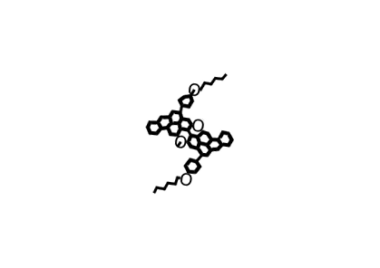 CCCCCCOc1ccc(-c2cc3cc4ccccc4c4ccc5c(-c6c(OC)cc7c(-c8ccc(OCCCCCC)cc8)cc8cc9ccccc9c9ccc6c7c89)c(OC)cc2c5c34)cc1